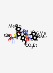 CCOC(=O)CCc1ccc(-c2cccc3sc(NC(=O)OC(C)(C)C)nc23)c(-c2nnnn2Cc2ccc(OC)cc2)c1S(=O)(=O)N(Cc1ccc(OC)cc1)Cc1ccc(OC)cc1